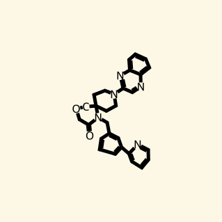 O=C1COCC2(CCN(c3cnc4ccccc4n3)CC2)N1Cc1cccc(-c2ccccn2)c1